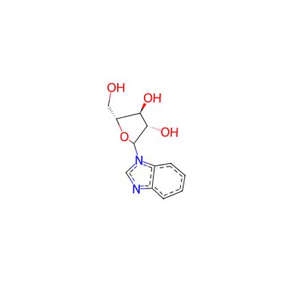 OC[C@H]1OC(n2cnc3ccccc32)[C@@H](O)[C@@H]1O